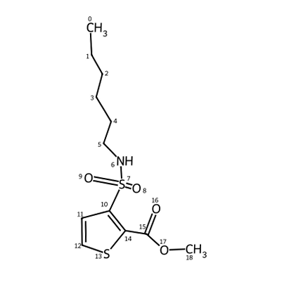 CCCCCCNS(=O)(=O)c1ccsc1C(=O)OC